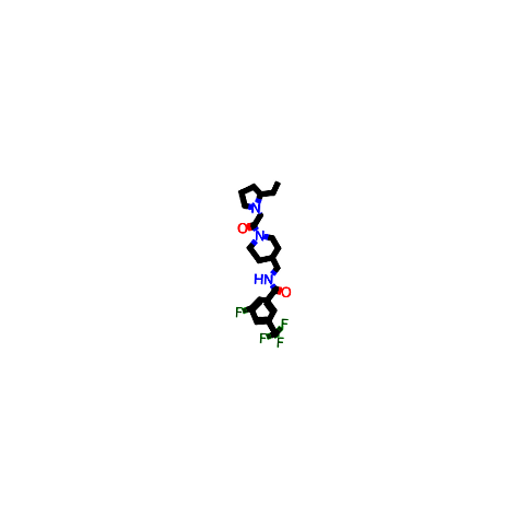 CCC1CCCN1CC(=O)N1CCC(CNC(=O)c2cc(F)cc(C(F)(F)F)c2)CC1